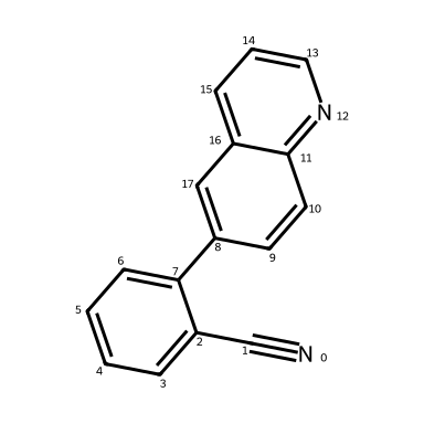 N#Cc1ccccc1-c1ccc2ncccc2c1